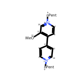 CCCCC[n+]1ccc(-c2cc[n+](CCCCC)cc2OC)cc1